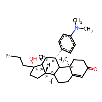 CC(C)CC[C@]1(O)CC[C@H]2[C@@H]3CCC4=CC(=O)CC[C@]4(C)C3[C@@H](c3ccc(N(C)C)cc3)C[C@@]21C